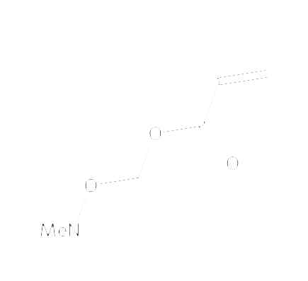 C=C(C)C(=O)OCONC